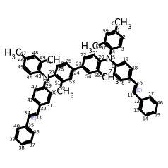 Cc1ccc(N(c2ccc(/C=C/c3ccccc3)cc2)c2ccc(-c3ccc(N(c4ccc(/C=C/c5ccccc5)cc4)c4ccc(C)cc4C)c(C)c3)cc2C)c(C)c1